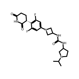 CC(C)N1CCC(NC(=O)NC2CN(c3cc(F)c([C@H]4CCC(=O)NC4=O)c(F)c3)C2)C1